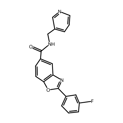 O=C(NCc1cccnc1)c1ccc2oc(-c3cccc(F)c3)nc2c1